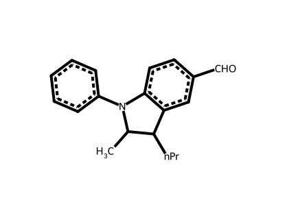 CCCC1c2cc(C=O)ccc2N(c2ccccc2)C1C